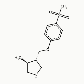 C[C@@H]1CNC[C@H]1COc1ccc(S(C)(=O)=O)cc1